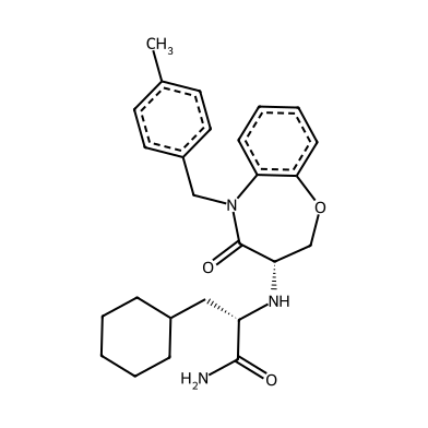 Cc1ccc(CN2C(=O)[C@@H](N[C@@H](CC3CCCCC3)C(N)=O)COc3ccccc32)cc1